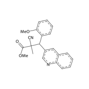 COC(=O)C(C)(C#N)C(c1cnc2ccccc2c1)c1ccccc1OC